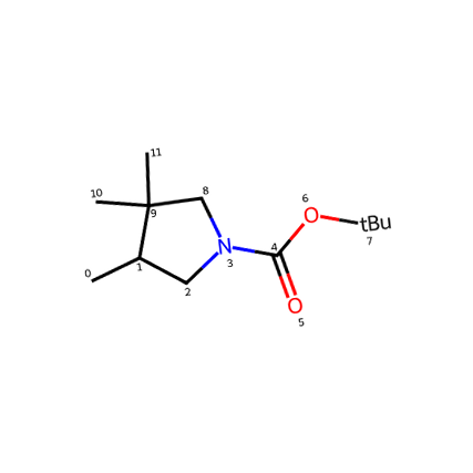 CC1CN(C(=O)OC(C)(C)C)CC1(C)C